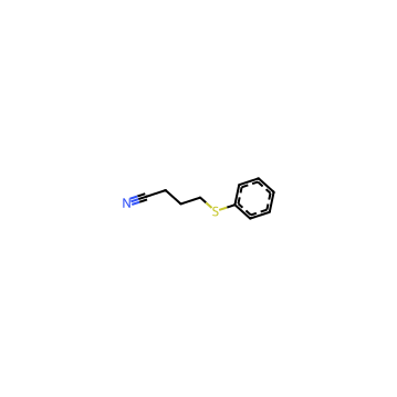 N#CCCCSc1ccccc1